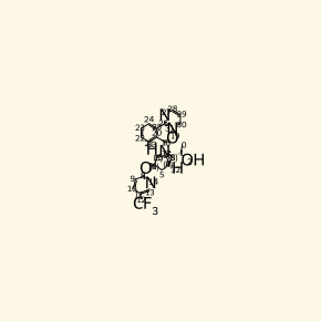 CC(O)[C@@H]1[C@H]2C[C@@H](Oc3ccc(C(F)(F)F)cn3)[C@H](C2)N1C(=O)c1ccccc1-c1ncccn1